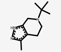 Cc1n[nH]c2c1CCN(C(C)(C)C)C2